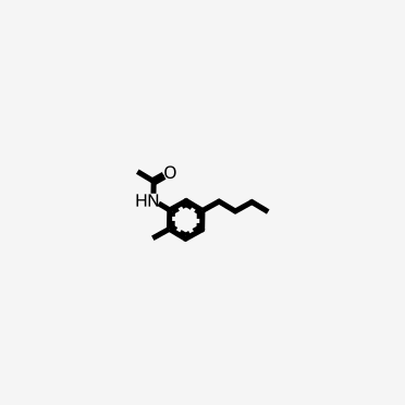 CCCCc1ccc(C)c(NC(C)=O)c1